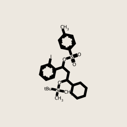 Cc1ccc(S(=O)(=O)OC(CC(O[Si](C)(C)C(C)(C)C)C2CCCCC2)c2ccccc2I)cc1